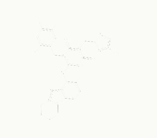 Cn1cnc(Cn2c(=O)[nH]/c(=N\c3c(Cl)ccc4c5n(nc34)CCCO5)n(Cc3cc(F)c(F)cc3F)c2=O)n1